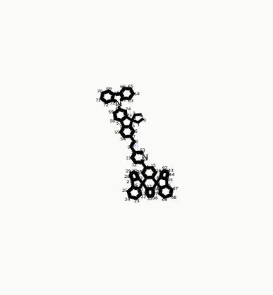 CCC1(CC)c2cc(/C=C/c3ccc(-c4ccc5c(c4)C4(c6ccccc6-c6ccccc64)c4ccccc4C54c5ccccc5-c5ccccc54)nc3)ccc2-c2ccc(-n3c4ccccc4c4ccccc43)cc21